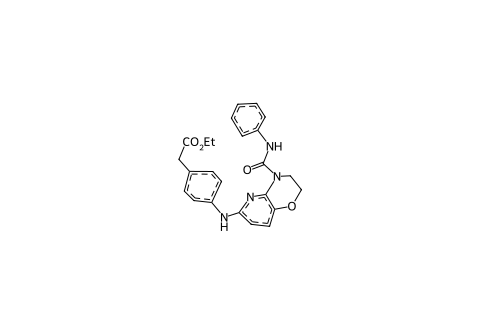 CCOC(=O)Cc1ccc(Nc2ccc3c(n2)N(C(=O)Nc2ccccc2)CCO3)cc1